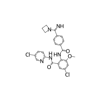 COc1cc(Cl)cc(C(=O)Nc2ccc(Cl)cn2)c1NC(=O)c1ccc(C(=N)N2CCC2)cc1